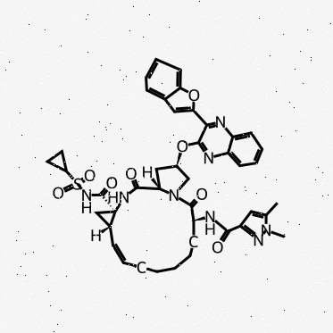 Cc1cc(C(=O)N[C@H]2CCCCC/C=C\[C@@H]3C[C@@]3(C(=O)NS(=O)(=O)C3CC3)NC(=O)[C@@H]3C[C@@H](Oc4nc5ccccc5nc4-c4cc5ccccc5o4)CN3C2=O)nn1C